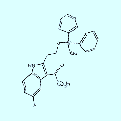 CC(C)(C)[Si](OCCc1[nH]c2ccc(Cl)cc2c1C(=O)C(=O)O)(c1ccccc1)c1ccccc1